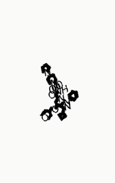 O=C(NS(=O)(=O)N1CCC(N2CCCC2)CC1)c1cc(OCC2CCOCC2)c2c(C3CCC3)nn(-c3ccccc3)c2n1